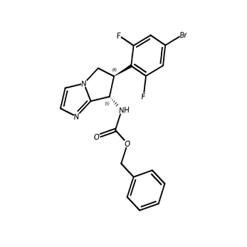 O=C(N[C@@H]1c2nccn2C[C@H]1c1c(F)cc(Br)cc1F)OCc1ccccc1